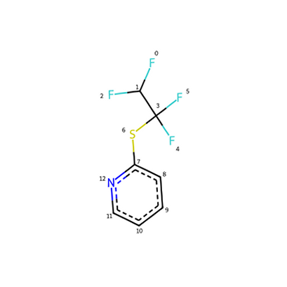 FC(F)C(F)(F)Sc1ccccn1